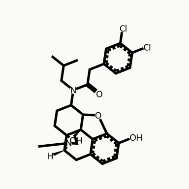 CC(C)CN(C(=O)Cc1ccc(Cl)c(Cl)c1)C1CC[C@@]2(O)[C@H]3Cc4ccc(O)c5c4[C@@]2(CCN3C)C1O5